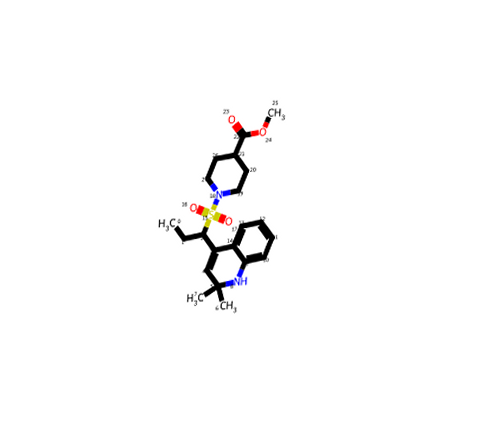 CCC(C1=CC(C)(C)Nc2ccccc21)S(=O)(=O)N1CCC(C(=O)OC)CC1